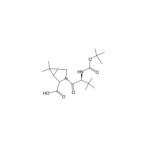 CC(C)(C)OC(=O)N[C@H](C(=O)N1CC2C(C1C(=O)O)C2(C)C)C(C)(C)C